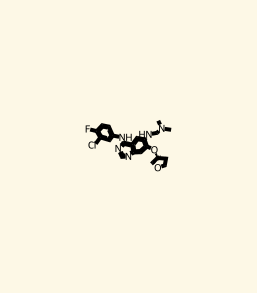 CN(C)CNc1cc2c(Nc3ccc(F)c(Cl)c3)ncnc2cc1O[C@H]1CCOC1